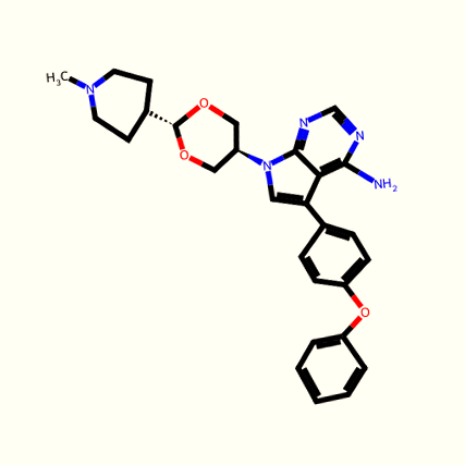 CN1CCC([C@H]2OC[C@H](n3cc(-c4ccc(Oc5ccccc5)cc4)c4c(N)ncnc43)CO2)CC1